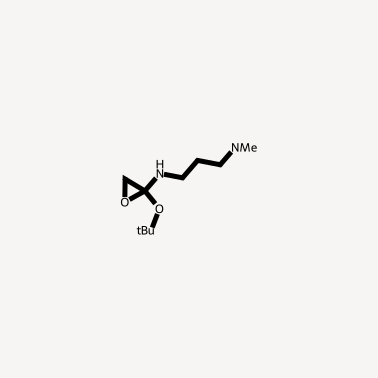 CNCCCNC1(OC(C)(C)C)CO1